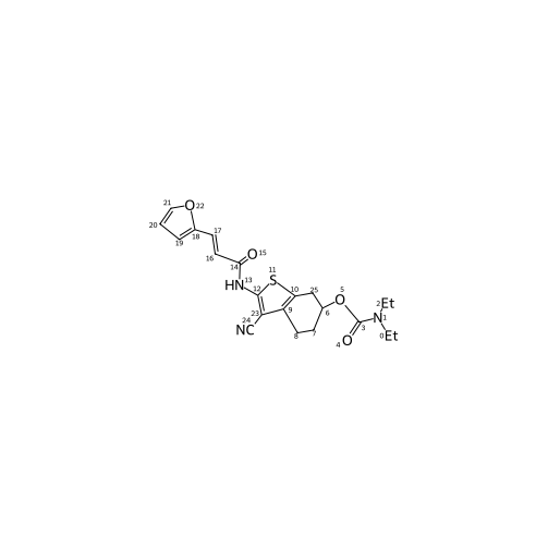 CCN(CC)C(=O)OC1CCc2c(sc(NC(=O)C=Cc3ccco3)c2C#N)C1